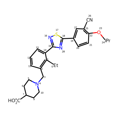 CCc1c(CN2CCC(C(=O)O)CC2)cccc1-c1nsc(-c2ccc(OC(C)C)c(C#N)c2)n1